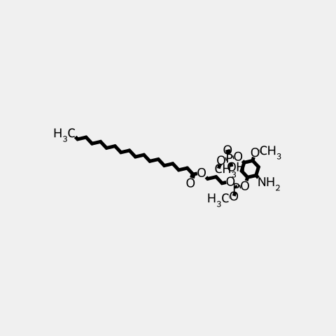 CCCCCCCCCCCCCCCCCC(=O)OCCCOP(OC)OC1CC(OP(=O)(O)OC)C(OC)CC1N